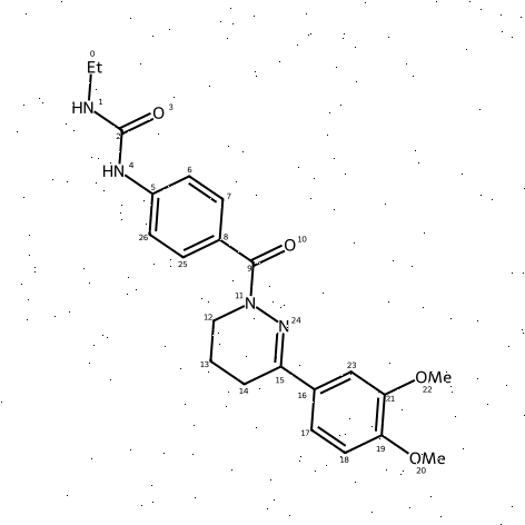 CCNC(=O)Nc1ccc(C(=O)N2CCCC(c3ccc(OC)c(OC)c3)=N2)cc1